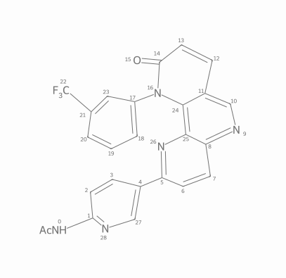 CC(=O)Nc1ccc(-c2ccc3ncc4ccc(=O)n(-c5cccc(C(F)(F)F)c5)c4c3n2)cn1